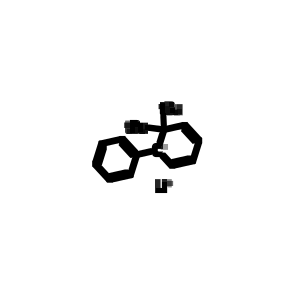 CC(C)(C)C1(C(C)(C)C)C=CC=C[C-]1c1ccccc1.[Li+]